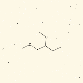 CCC(COC)OC